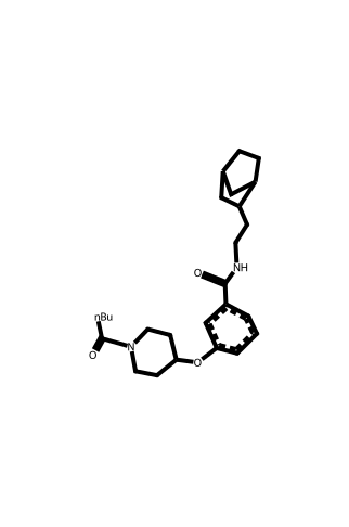 CCCCC(=O)N1CCC(Oc2cccc(C(=O)NCCC3CC4CCC3C4)c2)CC1